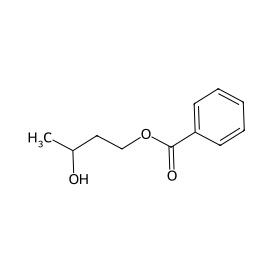 CC(O)CCOC(=O)c1ccccc1